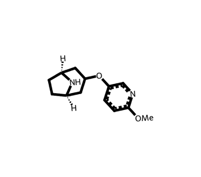 COc1ccc(OC2C[C@H]3CC[C@@H](C2)N3)cn1